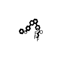 O=C(C(F)=CC(F)F)N1CCC(c2cccc3c2CC(c2ccc(Oc4ccccc4)cc2)CC3)CC1